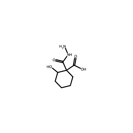 NNC(=O)C1(C(=O)O)CCCCC1O